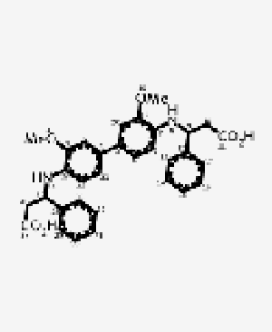 COc1cc(-c2ccc(NC(CC(=O)O)c3ccccc3)c(OC)c2)ccc1NC(CC(=O)O)c1ccccc1